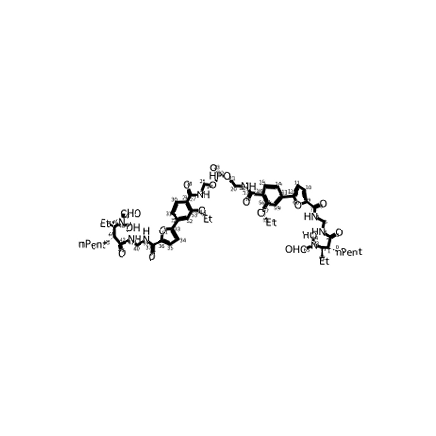 CCCCC[C@@H](C(=O)NCNC(=O)c1ccc(-c2ccc(C(=O)NCO[PH](=O)OCNC(=O)c3ccc(-c4ccc(C(=O)NCNC(=O)[C@H](CCCCC)[C@@H](CC)N(O)C=O)o4)cc3OCC)c(OCC)c2)o1)[C@@H](CC)N(O)C=O